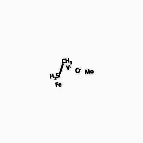 C[SiH3].[Cr].[Fe].[Mo].[V]